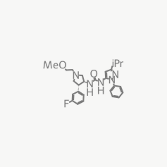 COCCN1C[C@@H](NC(=O)Nc2cc(C(C)C)nn2-c2ccccc2)[C@H](c2cccc(F)c2)C1